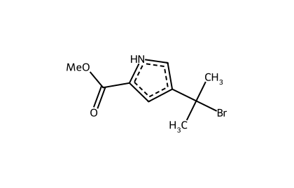 COC(=O)c1cc(C(C)(C)Br)c[nH]1